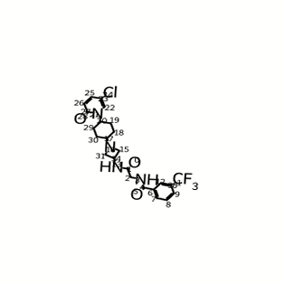 O=C(CNC(=O)c1cccc(C(F)(F)F)c1)NC1CN(C2CCC(n3cc(Cl)ccc3=O)CC2)C1